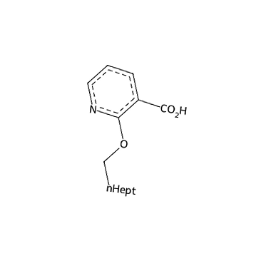 CCCCCCCCOc1ncccc1C(=O)O